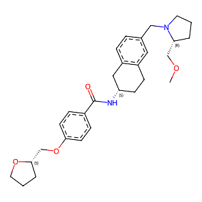 COC[C@H]1CCCN1Cc1ccc2c(c1)CC[C@H](NC(=O)c1ccc(OC[C@@H]3CCCO3)cc1)C2